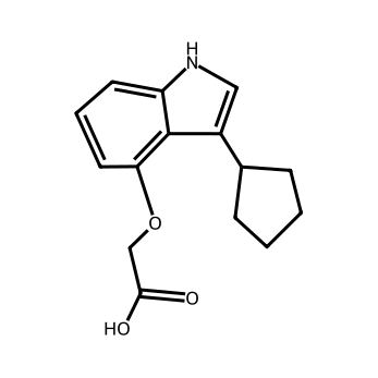 O=C(O)COc1cccc2[nH]cc(C3CCCC3)c12